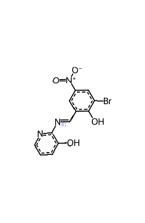 O=[N+]([O-])c1cc(Br)c(O)c(/C=N/c2ncccc2O)c1